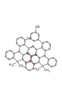 CC1(C)c2ccccc2N(c2cccc(C#N)c2-c2nc(-c3ccccc3)nc(-c3c(-c4cccc(C#N)c4)cccc3N3c4ccccc4C(C)(C)c4ccccc43)n2)c2ccccc21